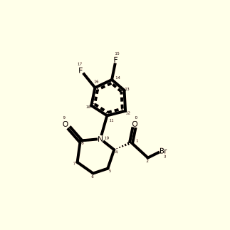 O=C(CBr)[C@@H]1CCCC(=O)N1c1ccc(F)c(F)c1